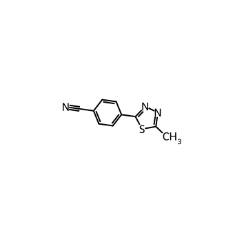 Cc1nnc(-c2ccc(C#N)cc2)s1